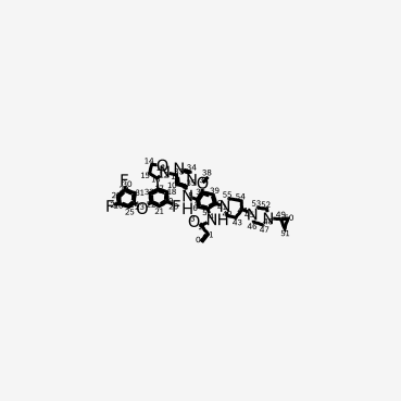 C=CC(=O)Nc1cc(Nc2cc(N3OCC[C@@H]3c3cc(F)cc(Oc4cc(F)cc(F)c4)c3)ncn2)c(OC)cc1N1CCC(N2CCN(C3CC3)CC2)CC1